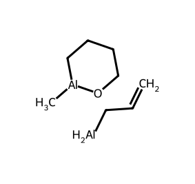 C=C[CH2][AlH2].[CH3][Al]1[CH2]CCC[O]1